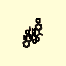 CCOc1nc2ccccc2c(=O)n1NC(=O)C(C)c1ccc(Cl)cc1